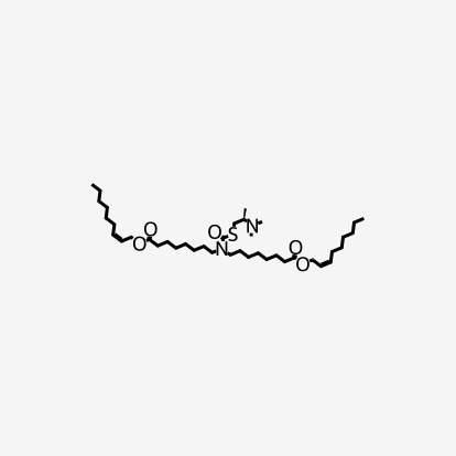 CCCCCC/C=C\COC(=O)CCCCCCCN(CCCCCCCC(=O)OC/C=C\CCCCCC)C(=O)SC[C@@H](C)N(C)C